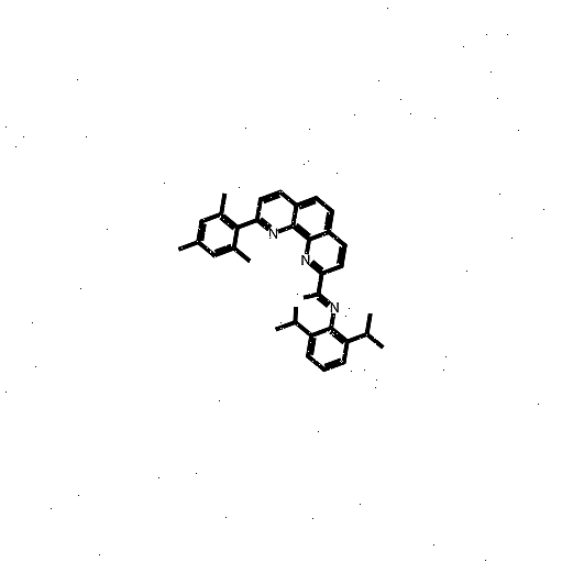 CC(=Nc1c(C(C)C)cccc1C(C)C)c1ccc2ccc3ccc(-c4c(C)cc(C)cc4C)nc3c2n1